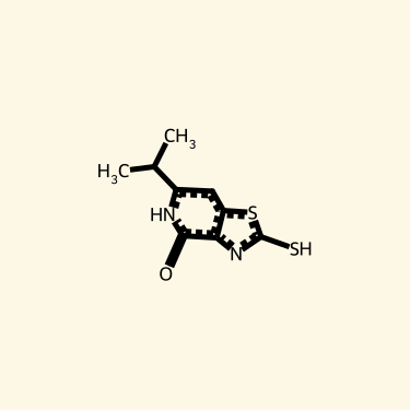 CC(C)c1cc2sc(S)nc2c(=O)[nH]1